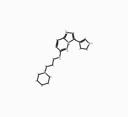 C1=C(c2cnc3ccc(OCCCN4CCCCC4)nn23)CCS1